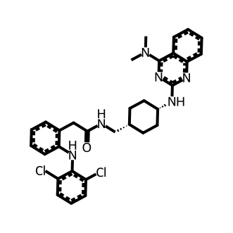 CN(C)c1nc(N[C@H]2CC[C@@H](CNC(=O)Cc3ccccc3Nc3c(Cl)cccc3Cl)CC2)nc2ccccc12